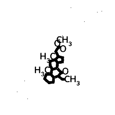 CCC1C(=O)C2C3CCC(CC(=O)OC)C3(C)CCC2C2(C)CCCCC12